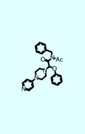 CC(=O)N(Cc1ccccc1)C(=O)C(Oc1ccccc1)N1CCN(c2ccncc2)CC1